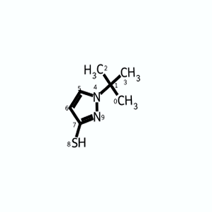 CC(C)(C)n1ccc(S)n1